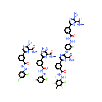 CNC(=O)c1nc(-c2cccc(C(=O)NNc3c(F)c(F)c(C)c(F)c3F)c2)cnc1N.CNC(=O)c1nc(-c2cccc(C(=O)NNc3cc(F)ccc3F)c2)cnc1N.CNC(=O)c1nc(-c2cccc(C(=O)NNc3ccc(F)cc3F)c2)cnc1N.CNC(=O)c1nc(-c2cccc(C(=O)NNc3ccccc3F)c2)cnc1N